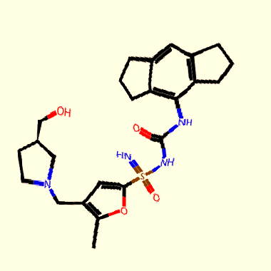 Cc1oc(S(=N)(=O)NC(=O)Nc2c3c(cc4c2CCC4)CCC3)cc1CN1CC[C@@H](CO)C1